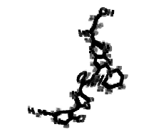 Nc1cc(-c2nc(C(=O)Nc3cc4sc(NCCO)nc4nc3N3CCCCC3)co2)c(Cl)cn1